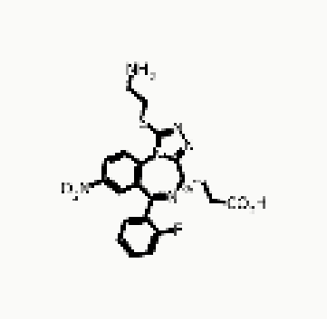 NCCSc1nnc2n1-c1ccc([N+](=O)[O-])cc1C(c1ccccc1F)=N[C@H]2CCC(=O)O